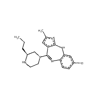 CCC[C@H]1CN(C2=Nc3ccc(Cl)cc3Nc3sc(C)cc32)CCN1